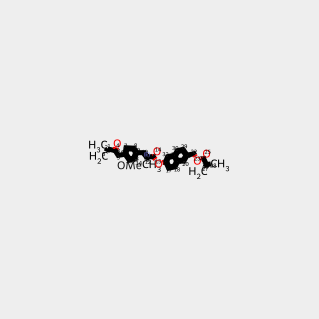 C=C(C)C(=O)Cc1ccc(/C=C(\C)C(=O)Oc2ccc3cc(COC(=O)C(=C)C)ccc3c2)c(OC)c1